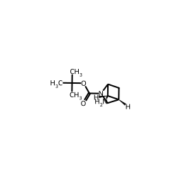 CC(C)(C)OC(=O)N1C[C@H]2CC1[C@H]2N